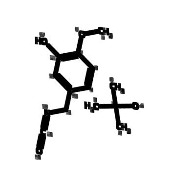 CC(C)(C)[O].COc1ccc(CN=C=O)cc1O